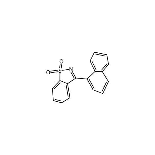 O=S1(=O)N=C(c2cccc3ccccc23)c2ccccc21